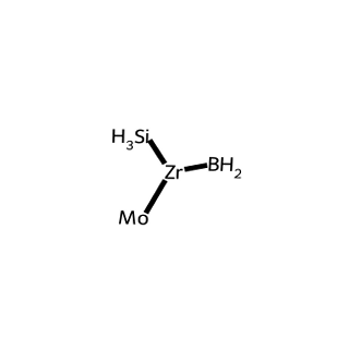 [BH2][Zr]([SiH3])[Mo]